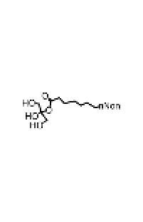 CCCCCCCCCCCCCCCC(=O)OC(O)(CO)CO